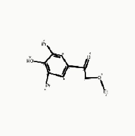 CCOCC(=O)c1cc(C(C)C)c(O)c(C(C)C)c1